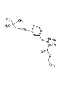 CCOC(=O)c1nn[nH]c1Oc1cccc(C#CCC(C)(C)C)c1